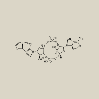 Nc1ncnc2c1ncn2[C@@H]1O[C@@H]2COP(=O)(O)O[C@H]3[C@@H](O)[C@H](n4cnc5c4ncn4ccnc54)O[C@@H]3COP(=O)(O)O[C@@H]1[C@@H]2O